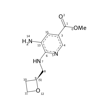 COC(=O)c1cnc(NC[C@@H]2CCO2)c(N)c1